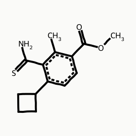 COC(=O)c1ccc(C2CCC2)c(C(N)=S)c1C